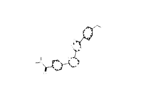 CN(C)C(=O)c1ccc(-c2cncc(-c3nnc(-c4ccc(CO)cc4)o3)n2)cc1